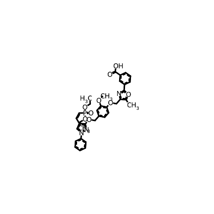 CCOP(=O)(/C=C\c1cn(-c2ccccc2)nc1OCc1ccc(OCc2nc(-c3cccc(C(=O)O)c3)oc2C)c(OC)c1)OCC